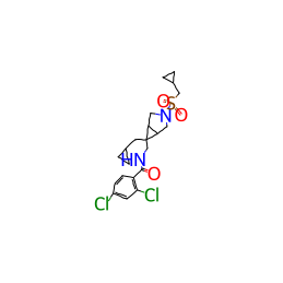 O=C(NCC1(CC2CC2)C2CN(S(=O)(=O)CC3CC3)CC21)c1ccc(Cl)cc1Cl